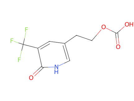 O=C(O)OCCc1c[nH]c(=O)c(C(F)(F)F)c1